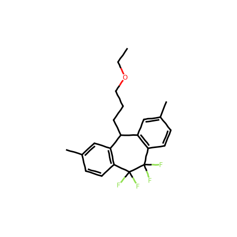 CCOCCCC1c2cc(C)ccc2C(F)(F)C(F)(F)c2ccc(C)cc21